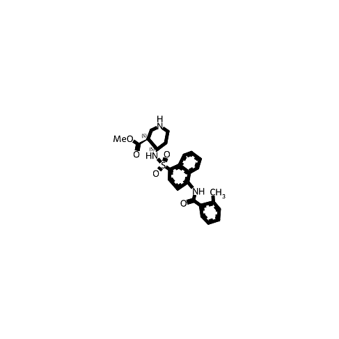 COC(=O)[C@H]1CNCC[C@@H]1NS(=O)(=O)c1ccc(NC(=O)c2ccccc2C)c2ccccc12